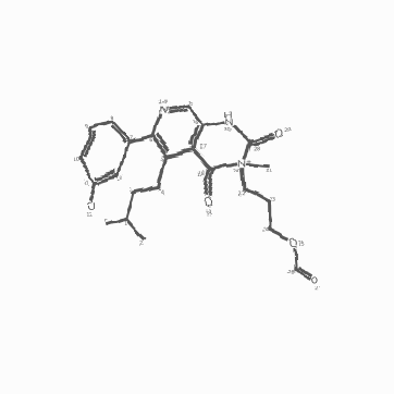 CC(C)CCc1c(-c2cccc(Cl)c2)ncc2c1C(=O)[N+](C)(CCCOC=O)C(=O)N2